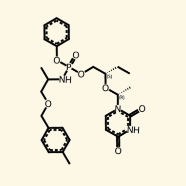 CC[C@@H](COP(=O)(NC(C)COCc1ccc(C)cc1)Oc1ccccc1)O[C@H](C)n1ccc(=O)[nH]c1=O